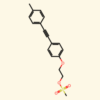 Cc1ccc(C#Cc2ccc(OCCOS(C)(=O)=O)cc2)cc1